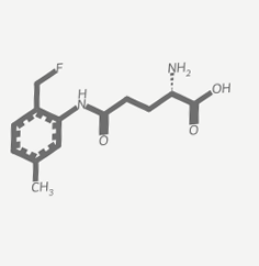 Cc1ccc(CF)c(NC(=O)CC[C@H](N)C(=O)O)c1